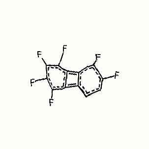 Fc1ccc2c(c1F)=c1c(F)c(F)c(F)c(F)c1=2